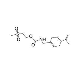 C=C(C)C1CC=C(CNC(=O)OCCS(C)(=O)=O)CC1